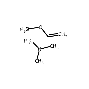 C=CO[SiH3].CN(C)C